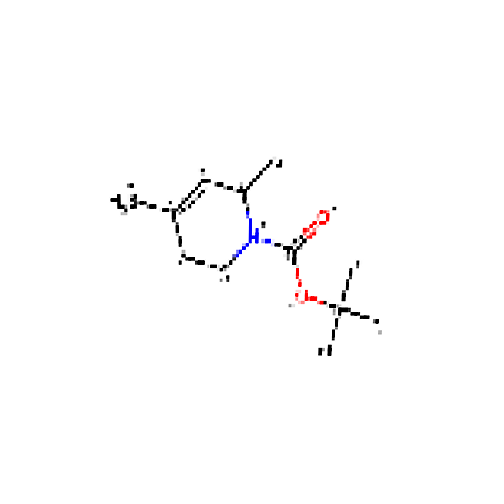 BC1=CC(C)N(C(=O)OC(C)(C)C)CC1